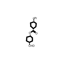 CCC[C@H]1CC[C@H](C(=O)O[C@H]2CC[C@H](C=O)CC2)CC1